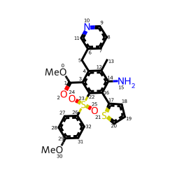 COC(=O)c1c(Cc2cccnc2)c(C)c(N)c(-c2cccs2)c1S(=O)(=O)c1ccc(OC)cc1